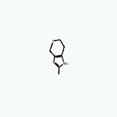 Cc1nc2c([nH]1)CCSC2